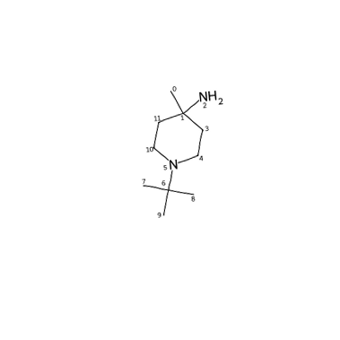 CC1(N)CCN(C(C)(C)C)CC1